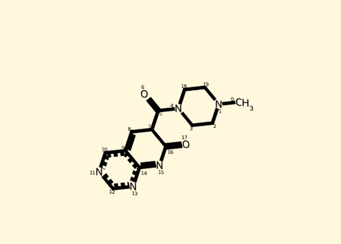 CN1CCN(C(=O)C2C=c3cncnc3=NC2=O)CC1